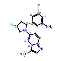 CCOC(=O)c1cnc2ccc(N3C[C@@H](F)C[C@@H]3c3cc(N)cc(F)c3)nn12